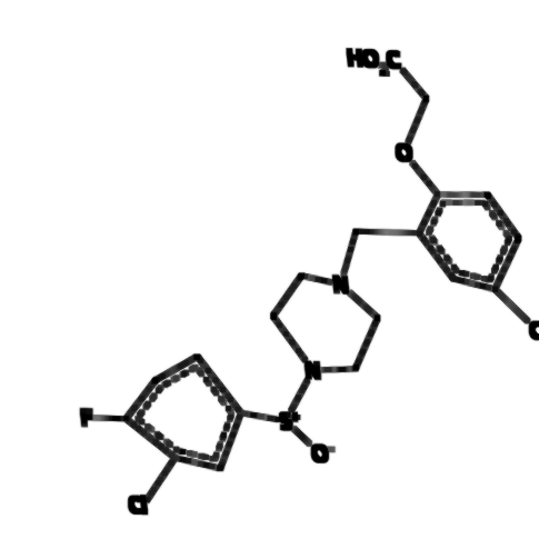 O=C(O)COc1ccc(Cl)cc1CN1CCN([S+]([O-])c2ccc(F)c(Cl)c2)CC1